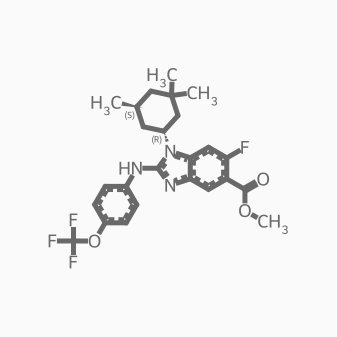 COC(=O)c1cc2nc(Nc3ccc(OC(F)(F)F)cc3)n([C@@H]3C[C@@H](C)CC(C)(C)C3)c2cc1F